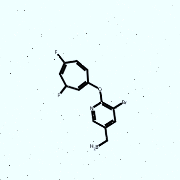 BCc1cnc(OC2=CC(F)C=C(F)C=C2)c(Br)c1